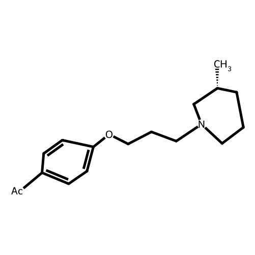 CC(=O)c1ccc(OCCCN2CCC[C@@H](C)C2)cc1